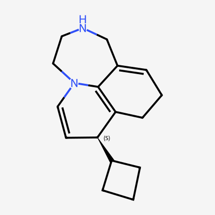 C1=CN2CCNCC3=CCCC(=C32)[C@H]1C1CCC1